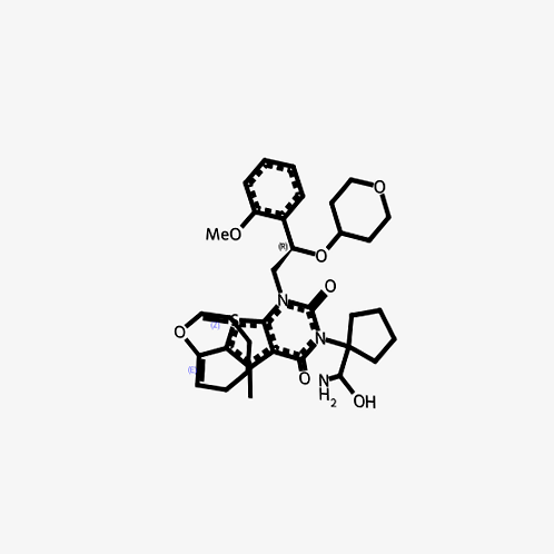 COc1ccccc1[C@H](Cn1c(=O)n(C2(C(N)O)CCCC2)c(=O)c2c(C)c(/C3=C\CCC/C=C\O3)sc21)OC1CCOCC1